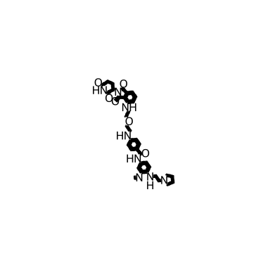 C=Nc1cc(NC(=O)c2ccc(NCCOCCNc3cccc4c3C(=O)N(C3CCC(=O)NC3=O)C4=O)cc2)ccc1NCCN1CCCC1